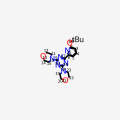 CC(C)(C)Oc1cccc(-c2nc(N3CCOCC3)nc(N3CCOCC3)n2)n1